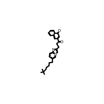 CC(C)(C)CCCCCc1ccc2nc(CCC(=O)C3=CC(=O)C4C=CC=CC4=C3)cn2c1